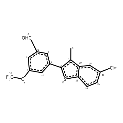 Cc1c(-c2cc(C=O)cc(OC(F)(F)F)c2)sc2ccc(Cl)cc12